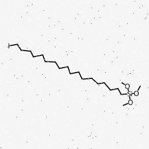 CO[Si](CCCCCCCCCCCCCCCCCCI)(OC)OC